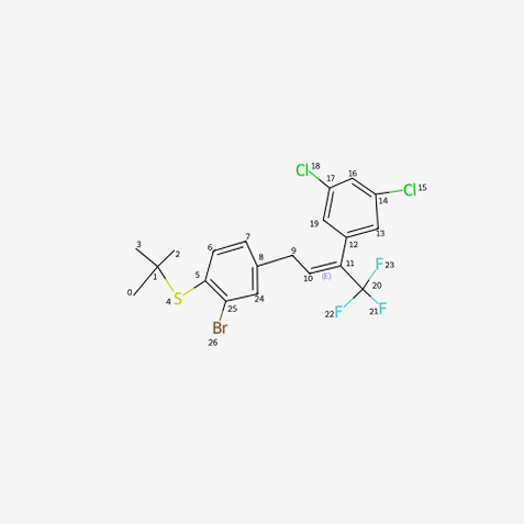 CC(C)(C)Sc1ccc(C/C=C(\c2cc(Cl)cc(Cl)c2)C(F)(F)F)cc1Br